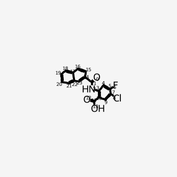 O=C(Nc1cc(F)c(Cl)cc1C(=O)O)c1ccc2ccccc2c1